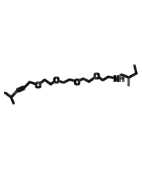 CCC(C)CNCCOCCOCCOCCOCC#CC(C)C